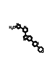 Cn1cc(-c2cc(-c3cnc4cc(-c5ccc(N6CCOCC6)nc5)ccn34)ccn2)cn1